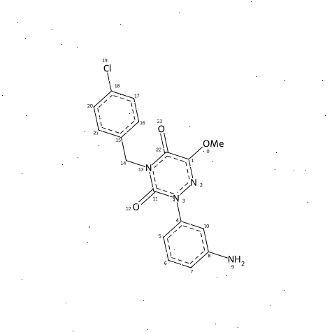 COc1nn(-c2cccc(N)c2)c(=O)n(Cc2ccc(Cl)cc2)c1=O